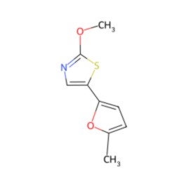 COc1ncc(-c2ccc(C)o2)s1